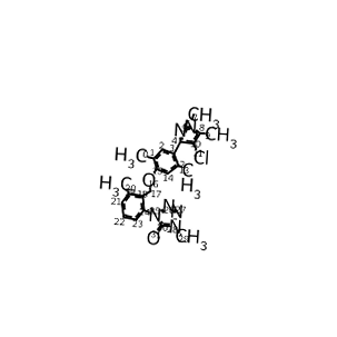 Cc1cc(-c2nn(C)c(C)c2Cl)c(C)cc1OCc1c(C)cccc1-n1nnn(C)c1=O